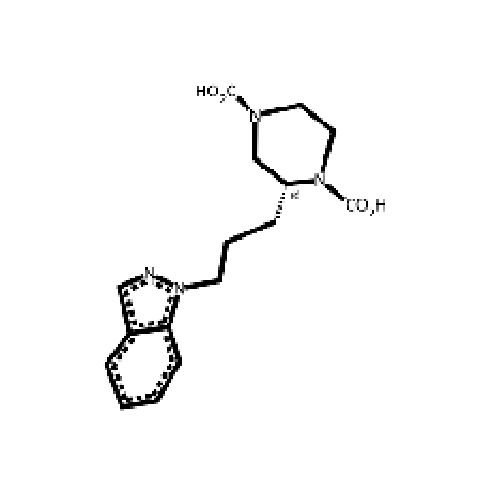 O=C(O)N1CCN(C(=O)O)[C@H](CCCn2ncc3ccccc32)C1